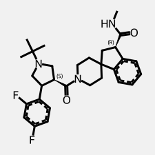 CNC(=O)[C@@H]1CC2(CCN(C(=O)[C@@H]3CN(C(C)(C)C)CC3c3ccc(F)cc3F)CC2)c2ccccc21